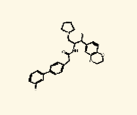 CC(c1ccc2c(c1)OCCO2)C(CN1CCCC1)NC(=O)Cc1ccc(-c2cccc(F)c2)cc1